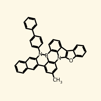 Cc1cc2c3c(c1)-n1c4oc5ccccc5c4c4cccc(c41)B3N(c1ccc(-c3ccccc3)cc1)c1cc3ccccc3cc1-2